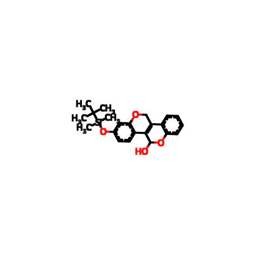 CC(C)(C)[Si](C)(C)Oc1ccc2c(c1)OCC1=C2C(O)Oc2ccccc21